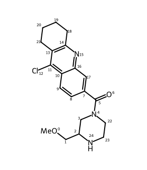 COCC1CN(C(=O)c2ccc3c(Cl)c4c(nc3c2)CCCC4)CCN1